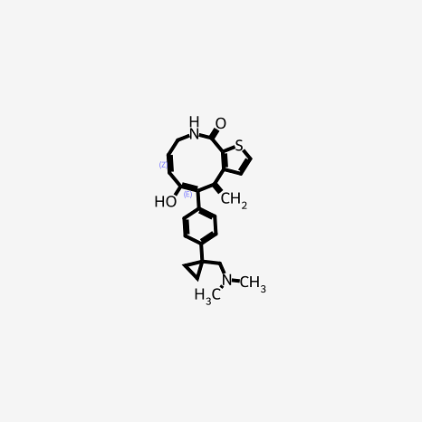 C=C1/C(c2ccc(C3(CN(C)C)CC3)cc2)=C(O)\C=C/CNC(=O)c2sccc21